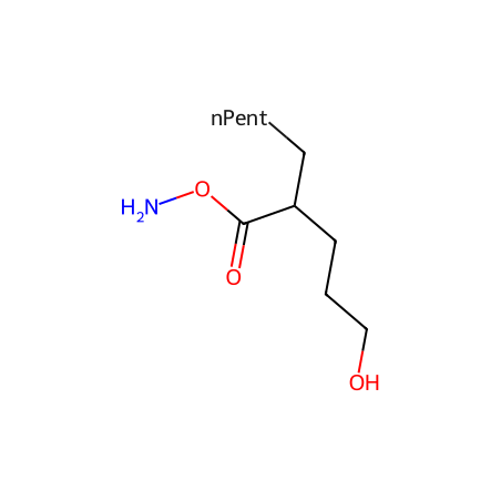 CCCCCCC(CCCO)C(=O)ON